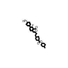 CCCc1ccc(-c2ccc3cc(CCC4CCC(C(=O)OC5CCC(C)CC5)CC4)oc(=O)c3c2F)cc1